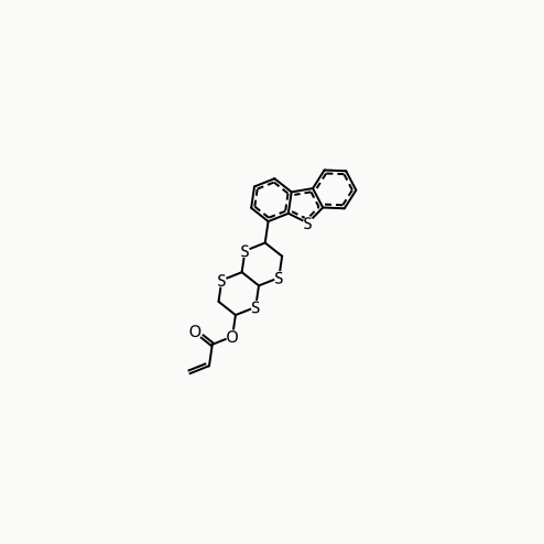 C=CC(=O)OC1CSC2SC(c3cccc4c3sc3ccccc34)CSC2S1